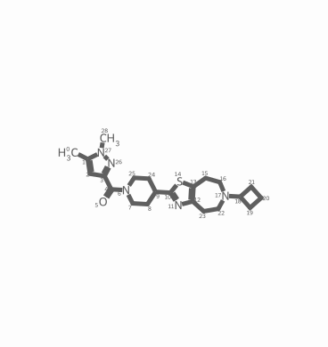 Cc1cc(C(=O)N2CCC(c3nc4c(s3)CCN(C3CCC3)CC4)CC2)nn1C